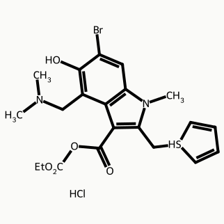 CCOC(=O)OC(=O)c1c(C[SH]2C=CC=C2)n(C)c2cc(Br)c(O)c(CN(C)C)c12.Cl